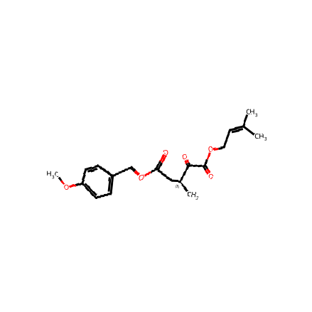 COc1ccc(COC(=O)C[C@H](C)C(=O)C(=O)OCC=C(C)C)cc1